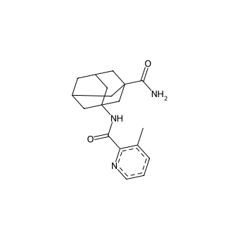 Cc1cccnc1C(=O)NC12CC3CC(C1)CC(C(N)=O)(C3)C2